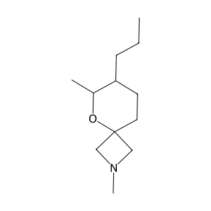 CCCC1CCC2(CN(C)C2)OC1C